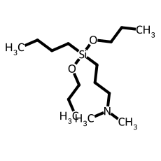 CCCC[Si](CCCN(C)C)(OCCC)OCCC